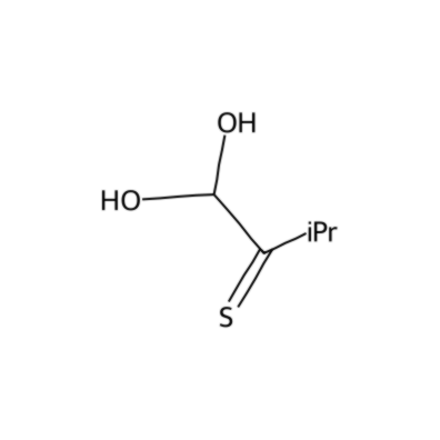 CC(C)C(=S)C(O)O